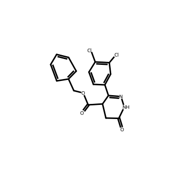 O=C1CC(C(=O)OCc2ccccc2)C(c2ccc(Cl)c(Cl)c2)=NN1